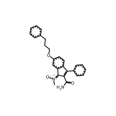 C/[N+]([O-])=C1\C(C(N)=O)=C(c2ccccc2)c2ccc(OCCCc3ccccc3)cc21